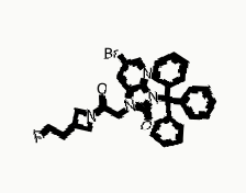 O=C(Cn1c(=O)n(C(c2ccccc2)(c2ccccc2)c2ccccc2)c2ncc(Br)cc21)N1CC(CCF)C1